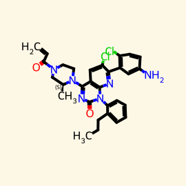 C=CC(=O)N1CCN(c2nc(=O)n(-c3ccccc3CCC)c3nc(-c4cc(N)ccc4Cl)c(Cl)cc23)[C@@H](C)C1